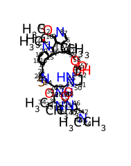 CCn1c(-c2cccnc2[C@H](C)OC)c2c3cc(ccc31)-c1csc(n1)C[C@H](NC(=O)[C@H](C(C)C)N(C)C(=O)N1CC(CN(C)C)C1)C(=O)N1CCC[C@@](O)(N1)C(=O)OCC(C)(C)C2